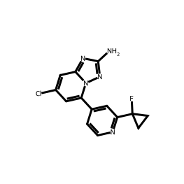 Nc1nc2cc(Cl)cc(-c3ccnc(C4(F)CC4)c3)n2n1